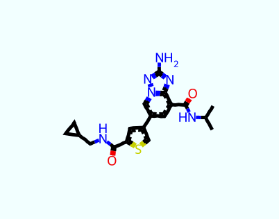 CC(C)NC(=O)c1cc(-c2csc(C(=O)NCC3CC3)c2)cn2nc(N)nc12